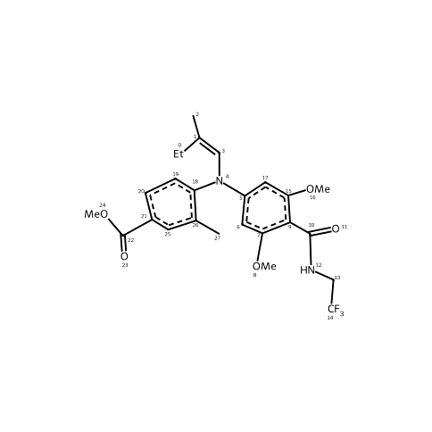 CC/C(C)=C\N(c1cc(OC)c(C(=O)NCC(F)(F)F)c(OC)c1)c1ccc(C(=O)OC)cc1C